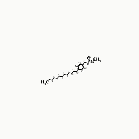 CCCCCCCCCCC/C=C/c1ccc(CCC(=O)OC)cc1